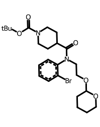 CC(C)(C)OC(=O)N1CCC(C(=O)N(CCOC2CCCCO2)c2ccccc2Br)CC1